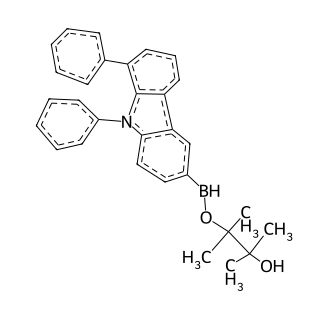 CC(C)(O)C(C)(C)OBc1ccc2c(c1)c1cccc(-c3ccccc3)c1n2-c1ccccc1